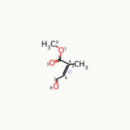 COC(=O)/C(C)=C\C=O